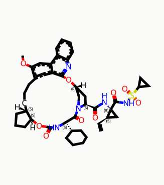 C=C[C@@H]1C[C@]1(NC(=O)[C@@H]1C[C@@H]2CN1C(=O)[C@H](C1CCCCC1)NC(=O)O[C@H]1CCC[C@@H]1CCCc1cc3c(nc4ccccc4c3cc1OC)O2)C(=O)NS(=O)(=O)C1CC1